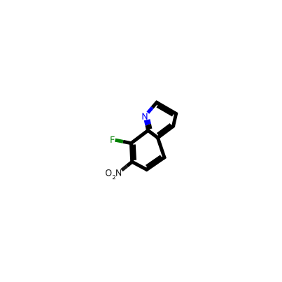 O=[N+]([O-])c1ccc2cccnc2c1F